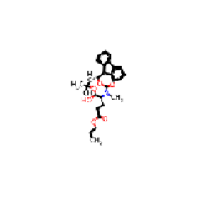 C=CCOC(=O)CC[C@@H](C(O)OC(C)(C)C)N(C)C(=O)OCC1c2ccccc2-c2ccccc21